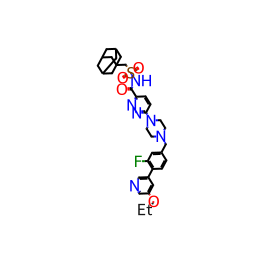 CCOc1cncc(-c2ccc(CN3CCN(c4ccc(C(=O)NS(=O)(=O)CC56CC7CC(CC(C7)C5)C6)nn4)CC3)cc2F)c1